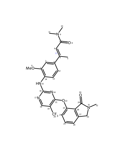 COc1cc(/C(C)=C/C(=O)N(C)C)ccc1Nc1ncc(C(F)(F)F)c(Oc2cccc3c2C(=O)N(C)C3)n1